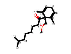 COCC1(C(=O)CCCCCC(C)C)C(C)=CCC=C1C